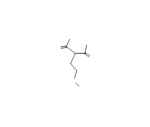 CSCCC(C(C)=O)C(=O)O